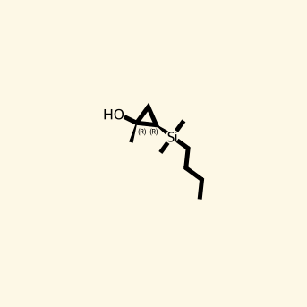 CCCC[Si](C)(C)[C@@H]1C[C@@]1(C)O